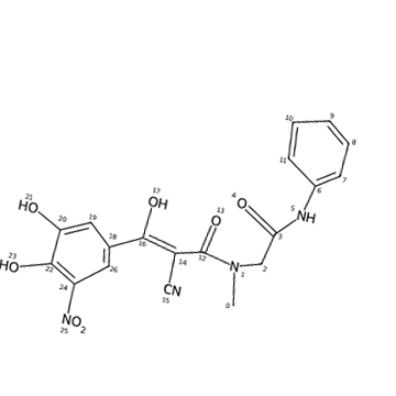 CN(CC(=O)Nc1ccccc1)C(=O)/C(C#N)=C(\O)c1cc(O)c(O)c([N+](=O)[O-])c1